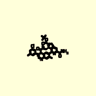 Cc1cc(Cl)cc(N2C=Nc3cc(C)c(-c4cccc(C(N)=O)n4)cc3C2C(=O)N(C)C[C@@H]2CCCN2C(=O)OC(C)(C)C)c1